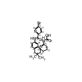 CC1(C)Cc2ccc(NC(=O)c3ccc(Br)cn3)cc2C2(CCSC(NC(=O)O)=N2)C1